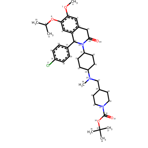 COc1cc2c(cc1OC(C)C)C(c1ccc(Cl)cc1)N(C1CCC(N(C)CC3CCN(C(=O)OC(C)(C)C)CC3)CC1)C(=O)C2